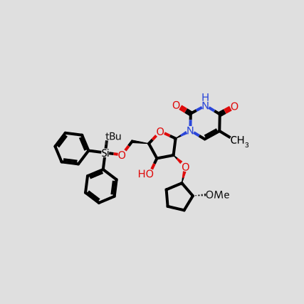 CO[C@@H]1CCC[C@H]1O[C@H]1C(O)[C@@H](CO[Si](c2ccccc2)(c2ccccc2)C(C)(C)C)O[C@H]1n1cc(C)c(=O)[nH]c1=O